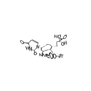 COC1C(OC(C)C)[C@@H](CCP(=O)(O)O)C[C@H]1n1ccc(=O)[nH]c1=O